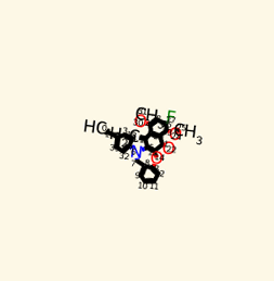 C#Cc1ccc(N2Cc3ccccc3OC3=C2C(=C)C2=C(C3=O)C(OC)C(F)C=C2OC)cc1